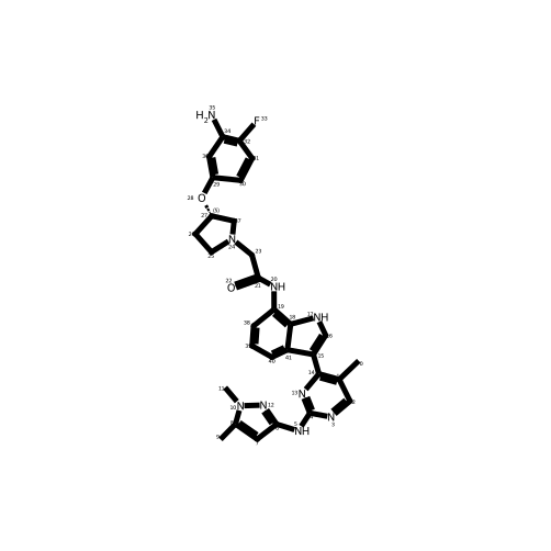 Cc1cnc(Nc2cc(C)n(C)n2)nc1-c1c[nH]c2c(NC(=O)CN3CC[C@H](Oc4ccc(F)c(N)c4)C3)cccc12